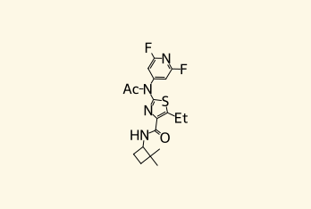 CCc1sc(N(C(C)=O)c2cc(F)nc(F)c2)nc1C(=O)NC1CCC1(C)C